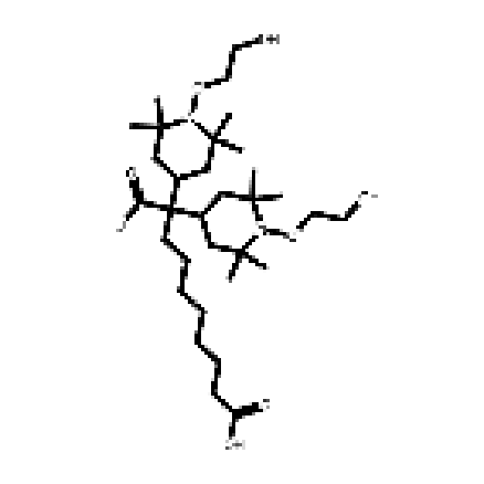 CC1(C)CC(C(CCCCCCCC(=O)O)(C(=O)O)C2CC(C)(C)N(OCCO)C(C)(C)C2)CC(C)(C)N1OCCO